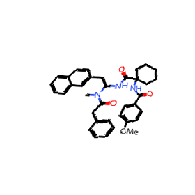 COc1ccc(C(=O)NC2(C(=O)NC(Cc3ccc4ccccc4c3)N(C)C(=O)Cc3ccccc3)CCCCC2)cc1